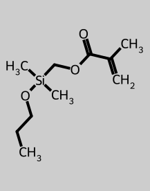 C=C(C)C(=O)OC[Si](C)(C)OCCC